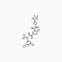 O=C(NC1CN(C(=O)C(F)(F)F)C1)c1cc(NC(=O)[C@@H]2[C@@H](c3cc(Cl)cc(Cl)c3)C2(Cl)Cl)ccc1Cl